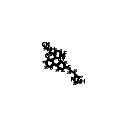 N#CCNC(=O)C1CCC(F)(F)CC1c1ccccc1-c1ccc(SCCc2c[nH]cn2)cc1